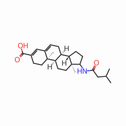 CC(C)CC(=O)NC1CC[C@H]2[C@@H]3CC=C4C=C(C(=O)O)CC[C@]4(C)[C@@H]3CC[C@]12C